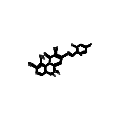 Cc1cnc(Br)c(C)c1-n1c(C)cc(OCc2ncc(F)cc2F)c(Cl)c1=O